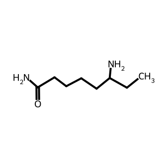 CCC(N)CCCCC(N)=O